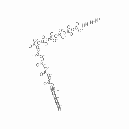 [H+].[H+].[H+].[H+].[H+].[H+].[H+].[H+].[H+].[H+].[H+].[H+].[H+].[H+].[NaH].[NaH].[O-]B([O-])[O-].[O-]B([O-])[O-].[O-]B([O-])[O-].[O-]B([O-])[O-].[O-]B([O-])[O-].[O-]B([O-])[O-].[O-]B([O-])[O-].[O-]B([O-])[O-].[O-]B([O-])[O-].[O-]B([O-])[O-]